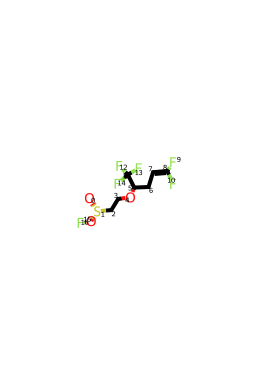 O=S(CCOC(CC=C(F)F)C(F)(F)F)OF